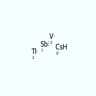 [CsH].[Sb].[Tl].[V]